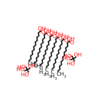 CCCCCCCCCCCCCCC(=O)O.CCCCCCCCCCCCCCC(=O)O.CCCCCCCCCCCCCCC(=O)O.CCCCCCCCCCCCCCC(=O)O.CCCCCCCCCCCCCCC(=O)O.CCCCCCCCCCCCCCC(=O)O.OCC(CO)(CO)CO.OCC(CO)(CO)CO